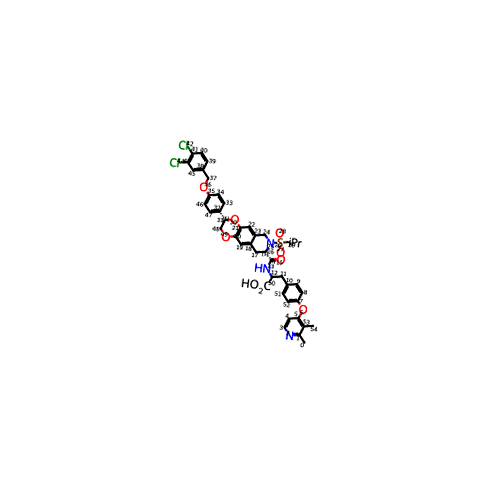 Cc1nccc(Oc2ccc(CC(NC(=O)[C@@H]3Cc4cc5c(cc4CN3S(=O)(=O)C(C)C)O[C@@H](c3ccc(OCc4ccc(Cl)c(Cl)c4)cc3)CO5)C(=O)O)cc2)c1C